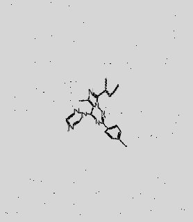 CCC(C)c1nc(C)c2c(-n3cncn3)nc(-c3ccc(C)cc3)nn12